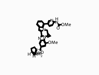 COC(=O)Nc1ccc(-c2cccc3cc(-c4nc5cc(C(=O)[C@]67CC[C@H](CN6)[C@H]7N)cc(OC)c5n4C)n(CC4CC4)c23)cn1